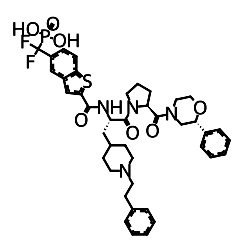 O=C(N[C@@H](CC1CCN(CCc2ccccc2)CC1)C(=O)N1CCC[C@H]1C(=O)N1CCO[C@H](c2ccccc2)C1)c1cc2cc(C(F)(F)P(=O)(O)O)ccc2s1